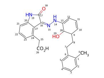 Cc1ccccc1CCC1C=CC=C(NN=C2C(=O)Nc3cccc(CC(=O)O)c32)C1O